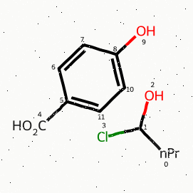 CCCC(O)Cl.O=C(O)c1ccc(O)cc1